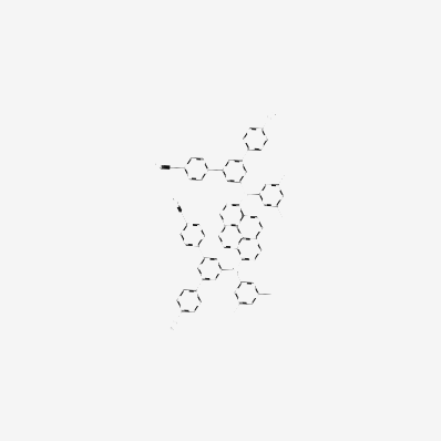 [C-]#[N+]c1ccc(-c2cc(-c3ccc(C#N)cc3)cc(N(c3cc(C)cc(C)c3)c3ccc4ccc5c(N(c6cc(C)cc(C)c6)c6cc(-c7ccc(C#N)cc7)cc(-c7ccc([N+]#[C-])cc7)c6)ccc6ccc3c4c65)c2)cc1